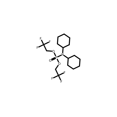 O=P(OCC(F)(F)F)(OCC(F)(F)F)N(C1CCCCC1)C1CCCCC1